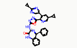 O=C1Nc2ccccc2C(c2ccccc2)=N[C@@H]1Nc1nnc(-c2ncc(C3CC3)cc2-c2cnc(C3CC3)nc2)o1